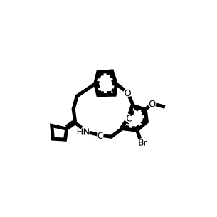 COc1cc(Br)c2cc1Oc1ccc(cc1)CCC(=C1CCC1)NCC2